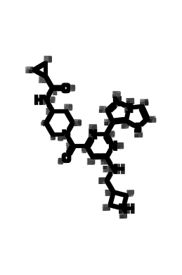 O=C(NC1CCN(C(=O)c2cc(NCC3CNC3)nc(-c3cnn4ccsc34)n2)CC1)C1CC1